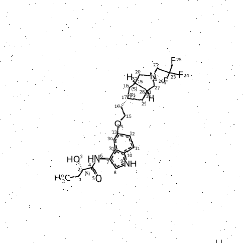 CC[C@H](O)C(=O)Nc1c[nH]c2ccc(OCC[C@@H]3C[C@@H]4CN(CC(F)(F)F)C[C@@H]4C3)cc12